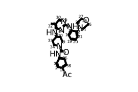 CC(=O)c1ccc(NC(=O)N2CCC(Nc3nc(Nc4ccccc4N4CCOCC4)ncc3C)CC2)cc1